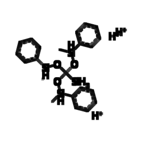 C[SiH](OC([SiH3])(O[SiH](C)c1ccccc1)O[SiH](C)c1ccccc1)c1ccccc1.[H+].[H+].[H+]